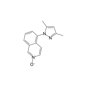 Cc1cc(C)n(-c2cccc3c[n+]([O-])ccc23)n1